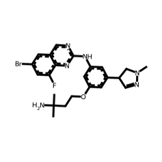 CN1CC(c2cc(Nc3ncc4cc(Br)cc(F)c4n3)cc(OCCC(C)(C)N)c2)C=N1